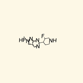 CPn1cc2cnc(C3CCNCC3F)nc2n1